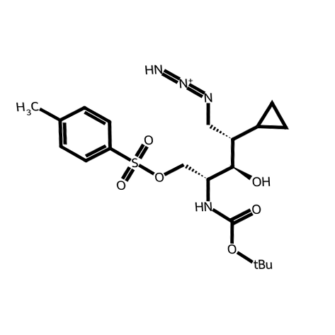 Cc1ccc(S(=O)(=O)OC[C@@H](NC(=O)OC(C)(C)C)[C@H](O)[C@H](CN=[N+]=N)C2CC2)cc1